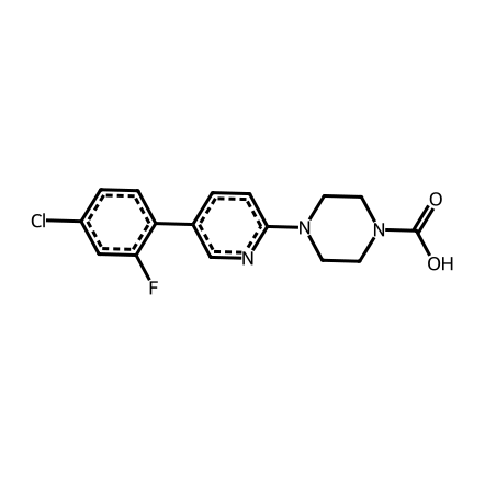 O=C(O)N1CCN(c2ccc(-c3ccc(Cl)cc3F)cn2)CC1